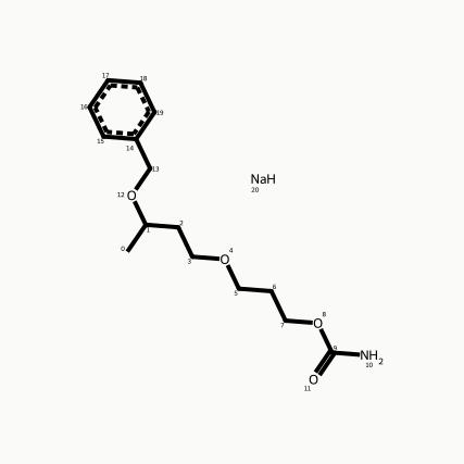 CC(CCOCCCOC(N)=O)OCc1ccccc1.[NaH]